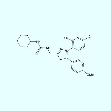 COc1ccc(C2CC(CNC(=S)NC3CCCCC3)=NN2c2ccc(Cl)cc2Cl)cc1